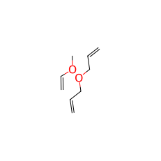 C=CCOCC=C.C=COC